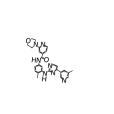 Cc1cncc(-c2ccnc(Nc3cc(NC(=O)c4ccnc(N5CCOCC5)c4)ccc3C)n2)c1